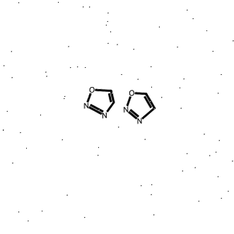 c1conn1.c1conn1